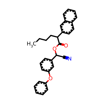 CCCCC(C(=O)OC(C#N)c1cccc(Oc2ccccc2)c1)c1ccc2ccccc2c1